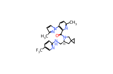 Cc1ccc(-n2ccc(C)n2)c(C(=O)N2CC3(CC3)C[C@H]2CNc2ccc(C(F)(F)F)cn2)n1